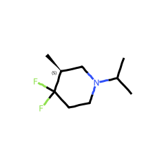 CC(C)N1CCC(F)(F)[C@@H](C)C1